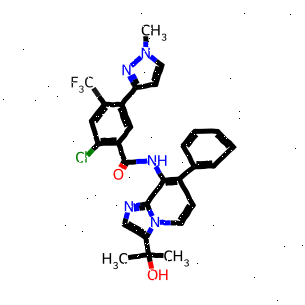 Cn1ccc(-c2cc(C(=O)Nc3c(-c4ccccc4)ccn4c(C(C)(C)O)cnc34)c(Cl)cc2C(F)(F)F)n1